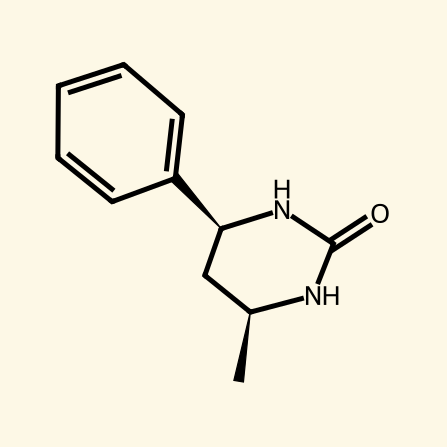 C[C@H]1C[C@@H](c2ccccc2)NC(=O)N1